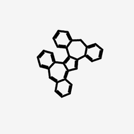 c1ccc2c(c1)Cc1ccccc1-c1c-2cc2c3ccccc3cc3ccccc3c1-2